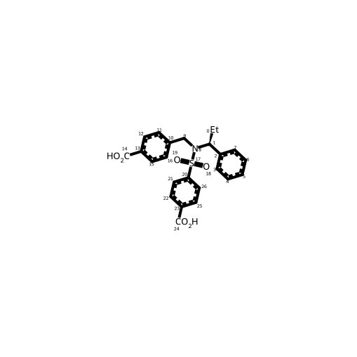 CC[C@@H](c1ccccc1)N(Cc1ccc(C(=O)O)cc1)S(=O)(=O)c1ccc(C(=O)O)cc1